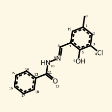 Cc1cc(Cl)c(O)c(/C=N/NC(=O)c2ccccc2)c1